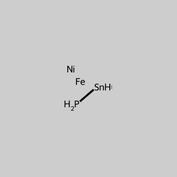 [Fe].[Ni].[PH2][SnH]